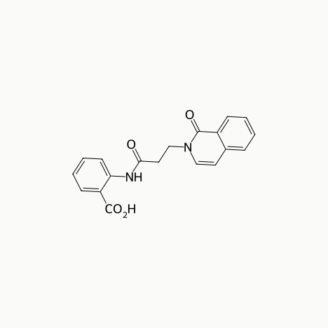 O=C(CCn1ccc2ccccc2c1=O)Nc1ccccc1C(=O)O